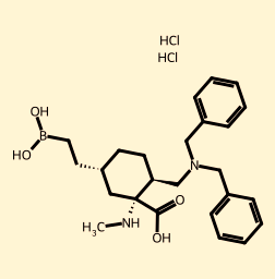 CN[C@]1(C(=O)O)C[C@H](CCB(O)O)CC[C@H]1CN(Cc1ccccc1)Cc1ccccc1.Cl.Cl